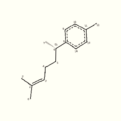 CC(C)=CCC[C@H](C)c1ccc(C)cc1